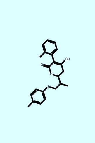 Cc1ccc(SCC(C)C2CC(O)=C(c3ccccc3C)C(=O)O2)cc1